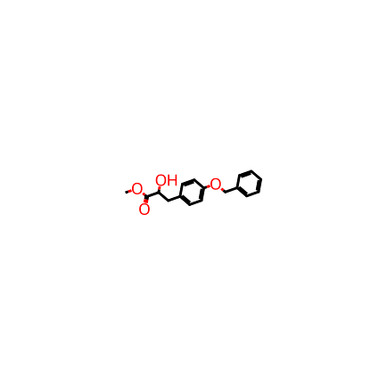 COC(=O)C(O)Cc1ccc(OCc2ccccc2)cc1